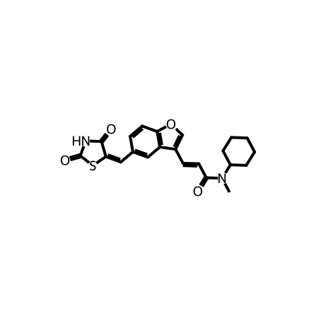 CN(C(=O)C=Cc1coc2ccc(C=C3SC(=O)NC3=O)cc12)C1CCCCC1